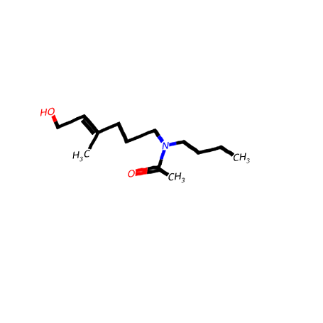 CCCCN(CCC/C(C)=C/CO)C(C)=O